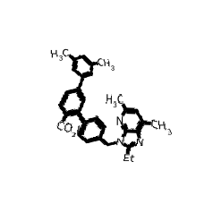 CCc1nc2c(C)cc(C)nc2n1Cc1ccc(-c2cc(-c3cc(C)cc(C)c3)ccc2C(=O)O)cc1